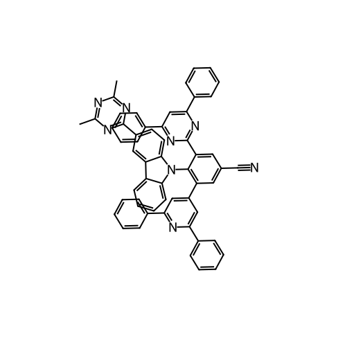 Cc1nc(C)nc(-c2ccc3c(c2)c2ccccc2n3-c2c(-c3cc(-c4ccccc4)nc(-c4ccccc4)c3)cc(C#N)cc2-c2nc(-c3ccccc3)cc(-c3ccccc3)n2)n1